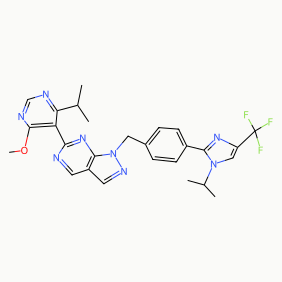 COc1ncnc(C(C)C)c1-c1ncc2cnn(Cc3ccc(-c4nc(C(F)(F)F)cn4C(C)C)cc3)c2n1